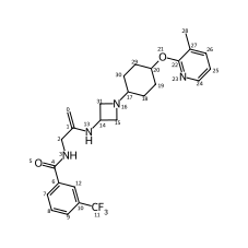 C=C(CNC(=O)c1cccc(C(F)(F)F)c1)NC1CN(C2CCC(Oc3ncccc3C)CC2)C1